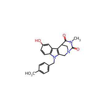 CN1C(=O)C2CN(Cc3c2c2cc(O)ccc2n3Cc2ccc(C(=O)O)cc2)C1=O